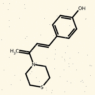 C=C(/C=C/c1ccc(O)cc1)N1CCSCC1